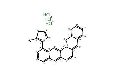 Cl.Cl.Cl.[V][C]1=C(c2cccc3cc4ccc5cc6ccccc6cc5c4cc23)C=CC1